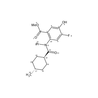 COC(=O)c1cc(O)c(F)cc1N(C(=O)[C@H]1CC[C@H](C)CC1)C(C)C